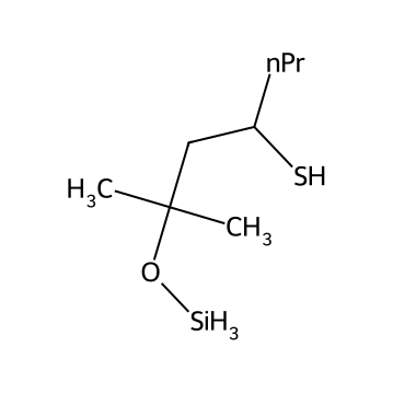 CCCC(S)CC(C)(C)O[SiH3]